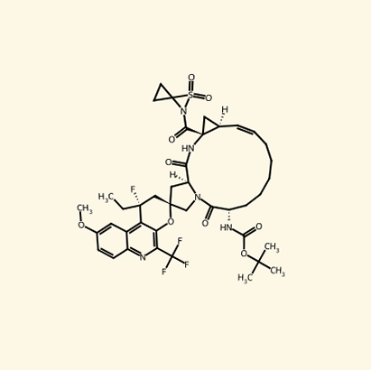 CC[C@@]1(F)C[C@]2(C[C@H]3C(=O)N[C@]4(C(=O)N5C6(CC6)S5(=O)=O)C[C@H]4/C=C\CCCCC[C@H](NC(=O)OC(C)(C)C)C(=O)N3C2)Oc2c(C(F)(F)F)nc3ccc(OC)cc3c21